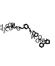 CC(C)(C)OC(=O)CCOCCc1cccc(CCN2CC3C[C@@H](OC(=O)Nc4ccccc4-c4ccccc4)C[C@@H]3C2)c1